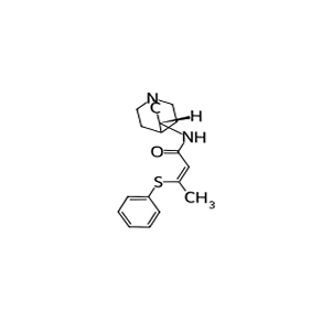 CC(=CC(=O)N[C@H]1CN2CCC1CC2)Sc1ccccc1